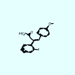 COc1ccc(C=C(C(=O)O)c2ccccc2F)cc1